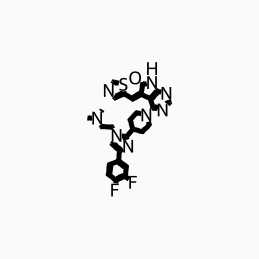 CN(C)CCn1cc(-c2ccc(F)c(F)c2)nc1C1CCN(c2ncnc3c2C(=Cc2cncs2)C(=O)N3)CC1